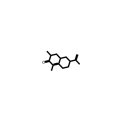 C=C(C)C1CCC2=C(C)C(=O)C(C)CC2C1